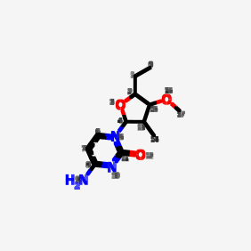 CCC1OC(n2ccc(N)nc2=O)C(C)C1OC